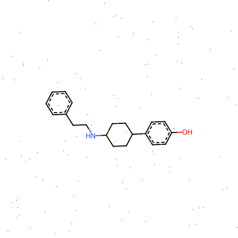 Oc1ccc(C2CCC(NCCc3ccccc3)CC2)cc1